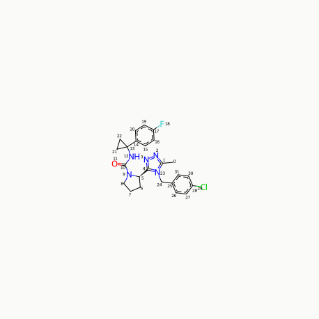 Cc1nnc([C@H]2CCCN2C(=O)NC2(c3ccc(F)cc3)CC2)n1Cc1ccc(Cl)cc1